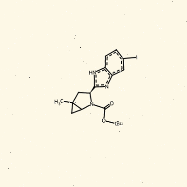 CC(C)(C)OC(=O)N1C2CC2(C)C[C@H]1c1nc2cc(I)ccc2[nH]1